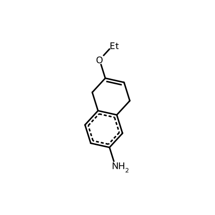 CCOC1=CCc2cc(N)ccc2C1